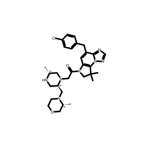 C[C@@H]1CN(CC(=O)N2CC(C)(C)c3c2cc(Cc2ccc(Cl)cc2)c2ncnn32)[C@@H](CN2CCOC[C@H]2C)CN1